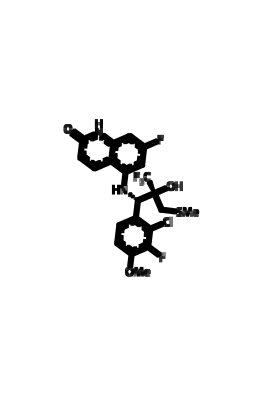 COc1ccc([C@H](Nc2cc(F)cc3[nH]c(=O)ccc23)[C@](O)(CSC)C(F)(F)F)c(Cl)c1F